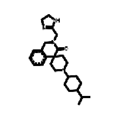 CC(C)C1CCC(N2CCC3(CC2)C(=O)N(CC2=NCCN2)Cc2ccccc23)CC1